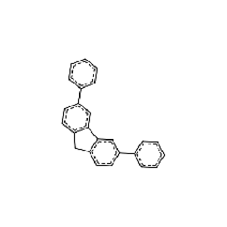 c1ccc(-c2ccc3c(c2)-c2cc(-c4ccccc4)ccc2C3)cc1